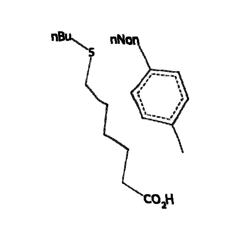 CCCCCCCCCc1ccc(C)cc1.CCCCSCCCCCC(=O)O